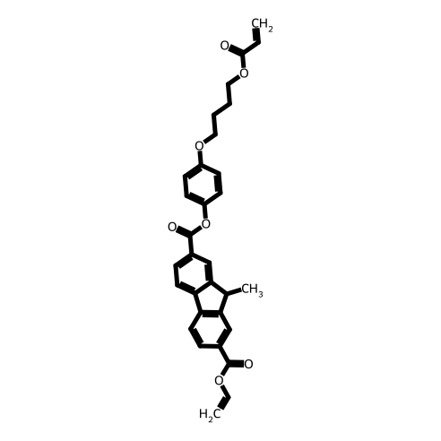 C=COC(=O)c1ccc2c(c1)C(C)c1cc(C(=O)Oc3ccc(OCCCCOC(=O)C=C)cc3)ccc1-2